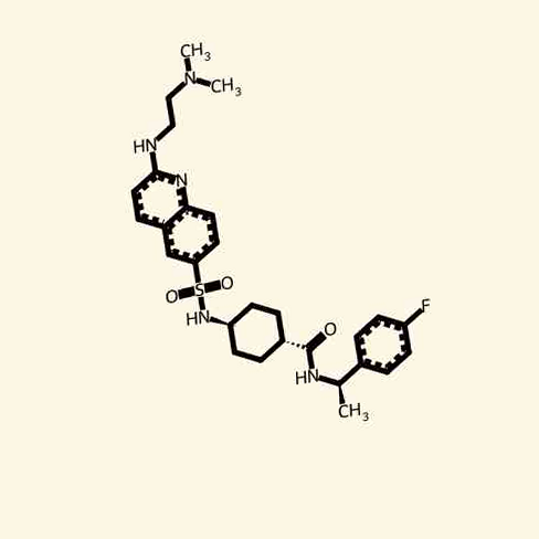 C[C@@H](NC(=O)[C@H]1CC[C@H](NS(=O)(=O)c2ccc3nc(NCCN(C)C)ccc3c2)CC1)c1ccc(F)cc1